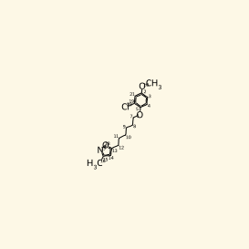 COc1ccc(OCCCCCCc2cc(C)no2)c(Cl)c1